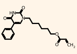 C=CC(=O)OCCCCCCn1cc(-c2ccccc2)c(=O)[nH]c1=O